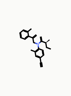 C#Cc1ccc(N(CC(=C)c2ccccc2C)C(=C)[C@@H](C)CC)c(C)c1